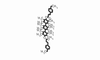 CCc1ccc(/C=C/C(=O)Oc2c(C)c(C)c(-c3c(C)c(C)c(-c4c(C)c(C)c(OC(=O)/C=C/c5ccc(CC)cc5)c(C)c4C)c(C)c3C)c(C)c2C)cc1